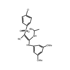 COc1cc(N/C(NC(C)C(C)(C)C)=C(\C#N)S(=O)(=O)c2ccc(Cl)cc2)cc(OC)c1